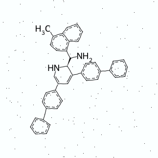 Cc1ccc(C(N)[C@@H]2NC=C(c3ccc(-c4ccccc4)cc3)C=C2c2ccc(-c3ccccc3)cc2)c2ccccc12